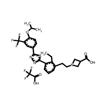 CCc1c(CCN2CC(C(=O)O)C2)cccc1-c1nnc(-c2ccc(OC(C)C)c(C(F)(F)F)c2)s1.O=C(O)C(F)(F)F